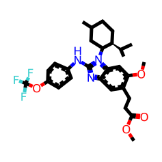 COC(=O)CCc1cc2nc(Nc3ccc(OC(F)(F)F)cc3)n(C3CC(C)CC[C@H]3C(C)C)c2cc1OC